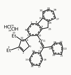 CCC1=CCC(c2ccc3c([c]2[Zr]=[C](c2ccccc2)c2ccccc2)Cc2ccccc2-3)=C1CC.Cl.Cl